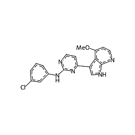 COc1ccnc2[nH]cc(-c3ccnc(Nc4cccc(Cl)c4)n3)c12